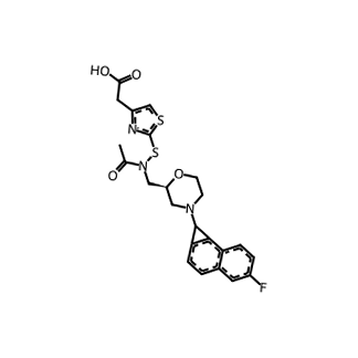 CC(=O)N(C[C@@H]1CN(C2c3ccc4cc(F)ccc4c32)CCO1)Sc1nc(CC(=O)O)cs1